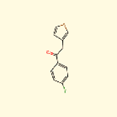 O=C(Cc1ccsc1)c1ccc(F)cc1